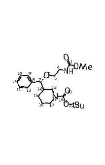 COC(=O)NCCO[C@@H](c1ccccc1)C1CCCN(C(=O)OC(C)(C)C)C1